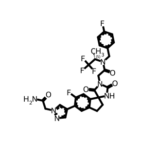 C[C@H](N(Cc1ccc(F)cc1)C(=O)CN1C(=O)NC2(CCc3cc(-c4cnn(CC(N)=O)c4)c(F)cc32)C1=O)C(F)(F)F